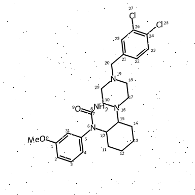 COc1cccc(N(C(N)=O)C2CCCCC2N2CCN(Cc3ccc(Cl)c(Cl)c3)CC2)c1